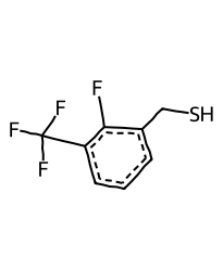 Fc1c(CS)cccc1C(F)(F)F